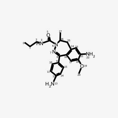 CCCNC(=O)N1N=C(c2ccc(N)cc2)c2cc(OC)c(N)cc2CC1C